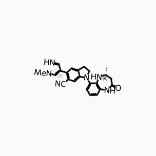 CN/C=C(\C=N)c1cc2c(cc1C#N)N(c1cccc3c1N[C@H](C)CC(=O)N3)CC2